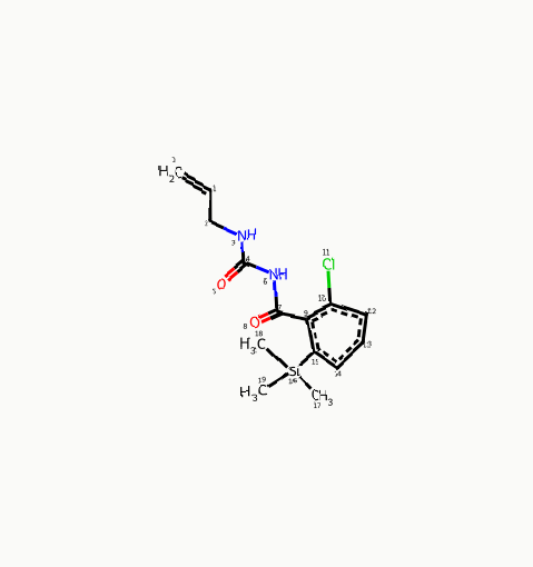 C=CCNC(=O)NC(=O)c1c(Cl)cccc1[Si](C)(C)C